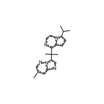 Cc1cnn2c(C(C)(C)c3nccn4c(C(C)C)ccc34)cnc2c1